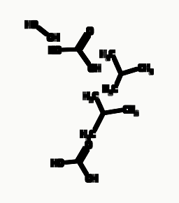 CC(C)C.CC(C)C.O=C(O)O.O=C(O)O.OO